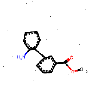 COC(=O)c1cccc(-c2ccccc2N)c1